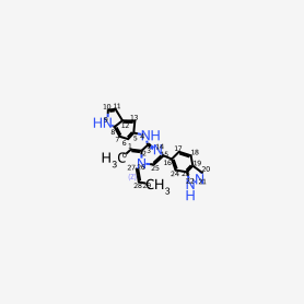 CC=C1C(Nc2ccc3[nH]ccc3c2)=NC(c2ccc3cn[nH]c3c2)=CN1/C=C\C